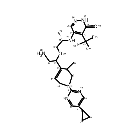 CC1CN(c2ncc(C3CC3)cn2)CC=C1C(CN)OC[C@H](C)Nc1cn[nH]c(=O)c1C(F)(F)F